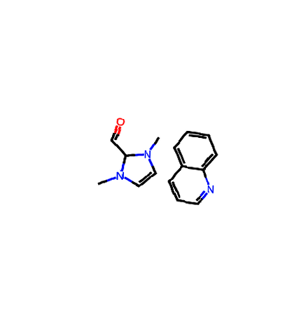 CN1C=CN(C)C1C=O.c1ccc2ncccc2c1